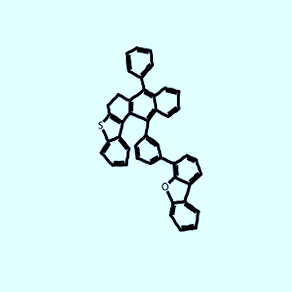 c1ccc(-c2c3c(c(-c4cccc(-c5cccc6c5oc5ccccc56)c4)c4ccccc24)-c2c(sc4ccccc24)CC3)cc1